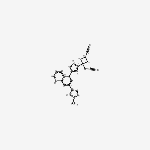 Cn1ccc(-c2cc(-c3cnn([C@]4(CC#N)C[C@@H](C#N)C4)n3)c3cccnc3c2)n1